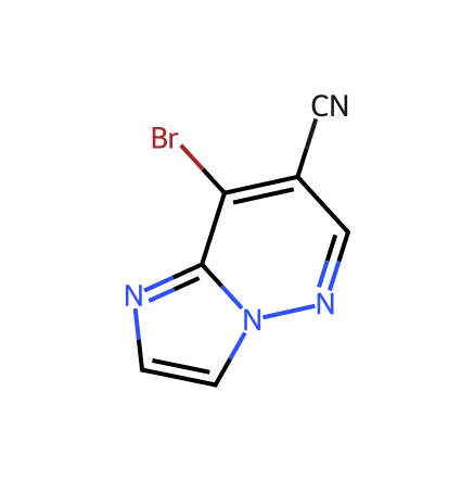 N#Cc1cnn2ccnc2c1Br